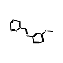 COc1cccc(N=Cc2cccnn2)c1